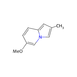 COc1ccc2cc(C)cn2c1